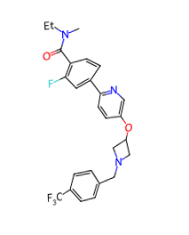 CCN(C)C(=O)c1ccc(-c2ccc(OC3CN(Cc4ccc(C(F)(F)F)cc4)C3)cn2)cc1F